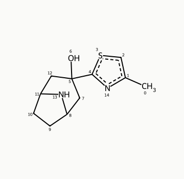 Cc1csc(C2(O)CC3CCC(C2)N3)n1